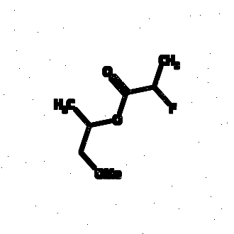 COCC(C)OC(=O)C(C)F